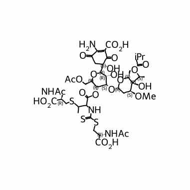 CO[C@H]1C[C@H](O[C@H]2[C@@H](O)[C@H]([C@@]3(O)CC(=O)C(N)=C(C(=O)O)C3=O)O[C@H](COC(C)=O)[C@H]2OC(=O)C(NC(=S)SC[C@H](NC(C)=O)C(=O)O)C(C)SC[C@H](NC(C)=O)C(=O)O)O[C@@H](C)[C@]1(O)[C@H](C)OC(=O)C(C)C